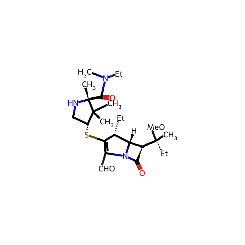 CC[C@H]1C(S[C@@H]2CN[C@](C)(C(=O)N(C)CC)C2(C)C)=C(C=O)N2C(=O)[C@H]([C@@](C)(CC)OC)[C@@H]12